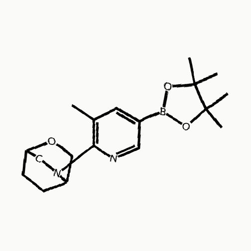 Cc1cc(B2OC(C)(C)C(C)(C)O2)cnc1N1CC2CCC1CO2